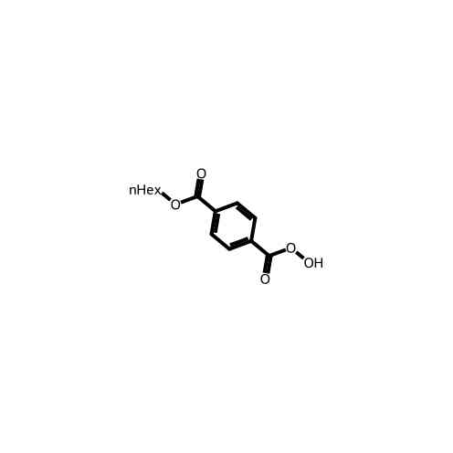 CCCCCCOC(=O)c1ccc(C(=O)OO)cc1